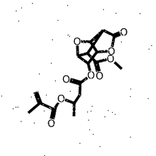 C=C(C)C(=O)OC(C)CC(=O)OC1C2OC(=O)C3C2OC1C3C(=O)OC